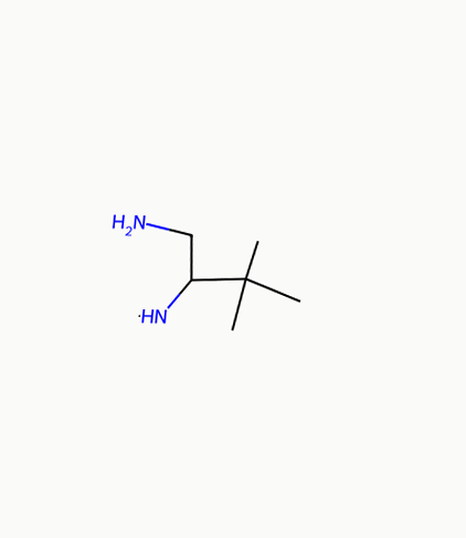 CC(C)(C)C([NH])CN